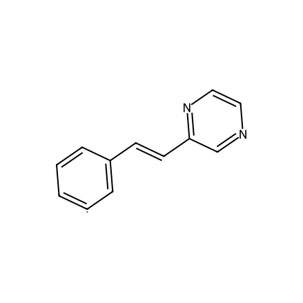 [c]1cccc(C=Cc2cnccn2)c1